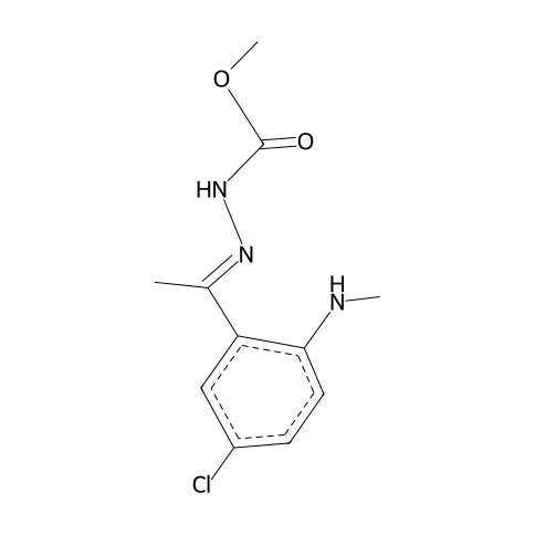 CNc1ccc(Cl)cc1/C(C)=N/NC(=O)OC